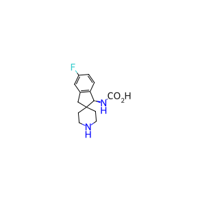 O=C(O)N[C@@H]1c2ccc(F)cc2CC12CCNCC2